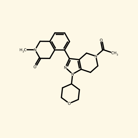 CC(=O)N1CCc2c(c(-c3cccc4c3CC(=O)N(C)C4)nn2C2CCOCC2)C1